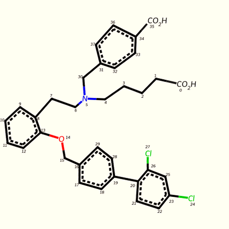 O=C(O)CCCCN(CCc1ccccc1OCc1ccc(-c2ccc(Cl)cc2Cl)cc1)Cc1ccc(C(=O)O)cc1